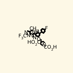 C[C@@H](Nc1ncnc2c(OCC3(C(=O)O)CCN(C(=O)O)CC3)cc(-c3ccc(F)cc3)cc12)c1cnc(C(F)(F)F)nc1